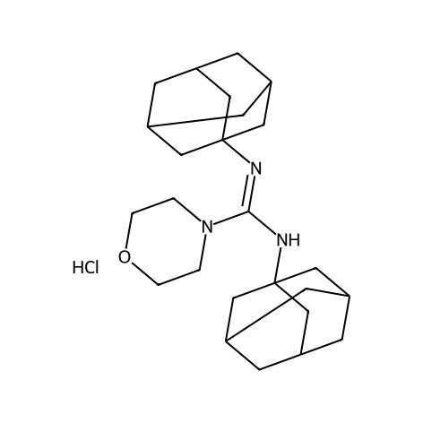 C1CN(/C(=N\C23CC4CC(CC(C4)C2)C3)NC23CC4CC(CC(C4)C2)C3)CCO1.Cl